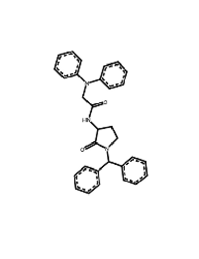 O=C(CN(c1ccccc1)c1ccccc1)NC1CCN(C(c2ccccc2)c2ccccc2)C1=O